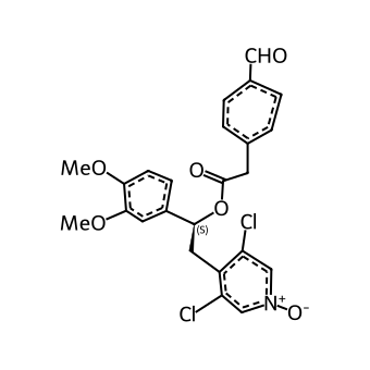 COc1ccc([C@H](Cc2c(Cl)c[n+]([O-])cc2Cl)OC(=O)Cc2ccc(C=O)cc2)cc1OC